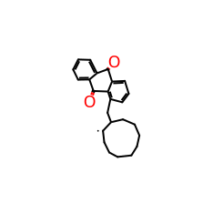 O=C1c2ccccc2C(=O)c2c(CC3[CH]CCCCCCCC3)cccc21